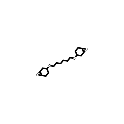 C(CCCOC1CCC2OC2C1)CCOC1CCC2OC2C1